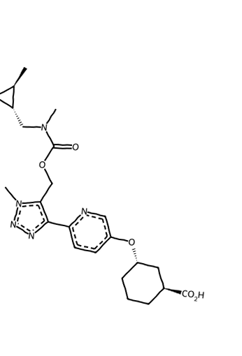 C[C@@H]1C[C@H]1CN(C)C(=O)OCc1c(-c2ccc(O[C@H]3CCC[C@H](C(=O)O)C3)cn2)nnn1C